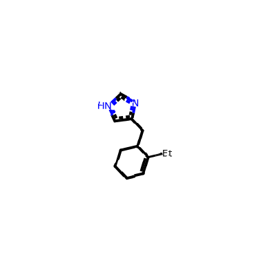 CCC1=CCCCC1Cc1c[nH]cn1